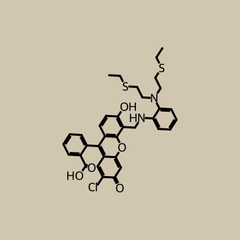 CCSCCN(CCSCC)c1ccccc1NCc1c(O)ccc2c(-c3ccccc3C(=O)O)c3cc(Cl)c(=O)cc-3oc12